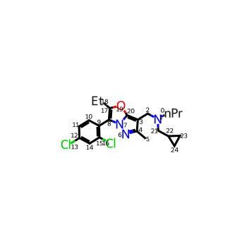 CCCN(Cc1c(C)nn2c(-c3ccc(Cl)cc3Cl)c(CC)oc12)CC1CC1